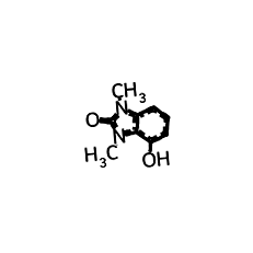 Cn1c(=O)n(C)c2c(O)cccc21